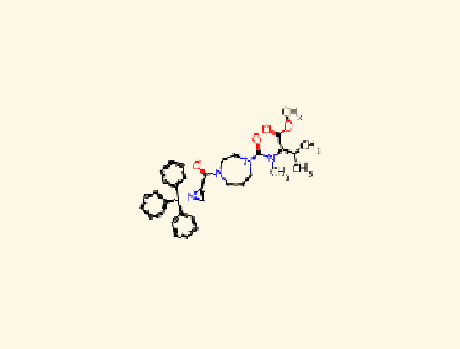 COC(=O)C(C(C)C)N(C)C(=O)N1CCCN(C(=O)C2C[N@@]2C(c2ccccc2)(c2ccccc2)c2ccccc2)CC1